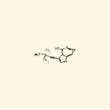 C[Si](C)(C)C#Cc1csc2cnnc(O)c12